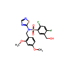 COc1ccc(CN(c2ncns2)S(=O)(=O)c2cc(CO)c(F)cc2F)c(OC)c1